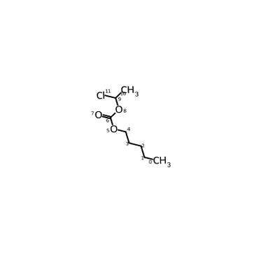 CCCCCOC(=O)OC(C)Cl